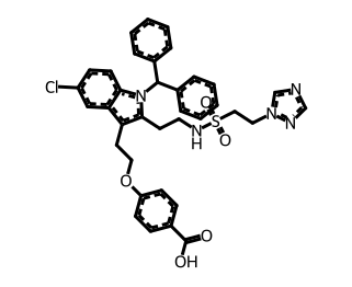 O=C(O)c1ccc(OCCc2c(CCNS(=O)(=O)CCn3cncn3)n(C(c3ccccc3)c3ccccc3)c3ccc(Cl)cc23)cc1